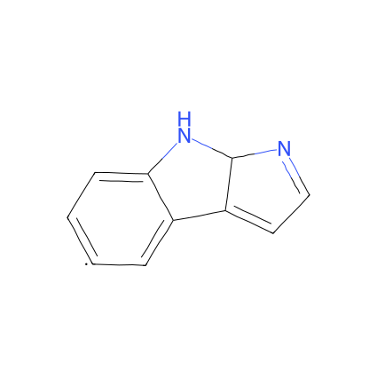 [c]1ccc2c(c1)C1=CC=NC1N2